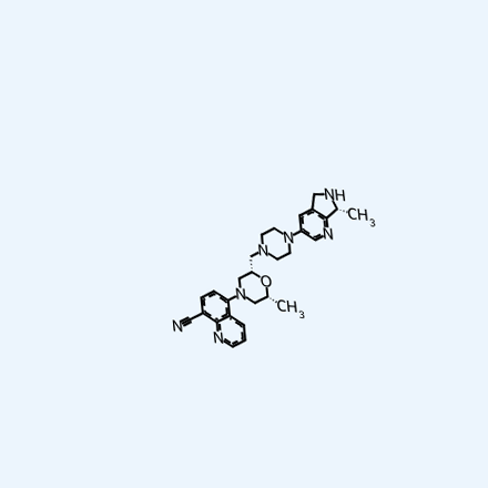 C[C@@H]1CN(c2ccc(C#N)c3ncccc23)C[C@H](CN2CCN(c3cnc4c(c3)CN[C@@H]4C)CC2)O1